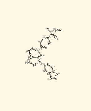 CNS(=O)(=O)c1ccc(-c2cnc3[nH]cc(-c4ccc5ncsc5c4)c3n2)cc1